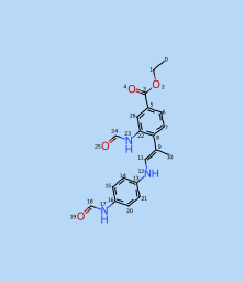 CCOC(=O)c1ccc(/C(C)=C/Nc2ccc(NC=O)cc2)c(NC=O)c1